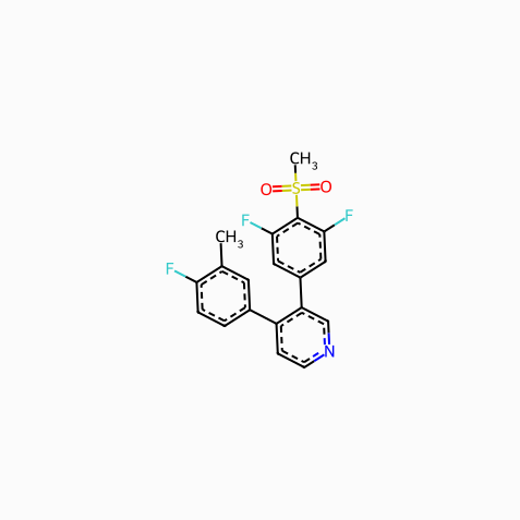 Cc1cc(-c2ccncc2-c2cc(F)c(S(C)(=O)=O)c(F)c2)ccc1F